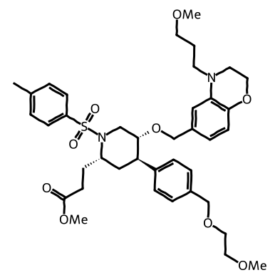 COCCCN1CCOc2ccc(CO[C@H]3CN(S(=O)(=O)c4ccc(C)cc4)[C@@H](CCC(=O)OC)C[C@@H]3c3ccc(COCCOC)cc3)cc21